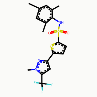 Cc1cc(C)c(NS(=O)(=O)c2ccc(-c3cc(C(F)(F)F)n(C)n3)s2)c(C)c1